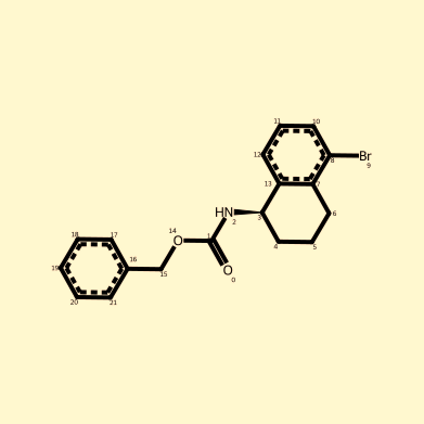 O=C(N[C@@H]1CCCc2c(Br)cccc21)OCc1ccccc1